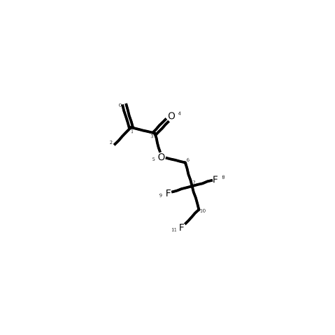 C=C(C)C(=O)OCC(F)(F)CF